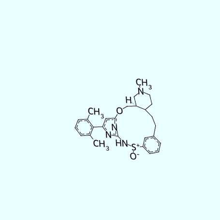 Cc1cccc(C)c1-c1cc2nc(n1)N[S+]([O-])c1cccc(c1)CCC1CCN(C)C[C@@H]1CO2